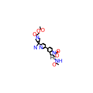 CC(=O)NC[C@@H]1OC(=O)N2c3ccc(-c4ccc(C5(C#N)C6CN(C(=O)COC(C)=O)CC65)nc4)cc3C[C@@H]12